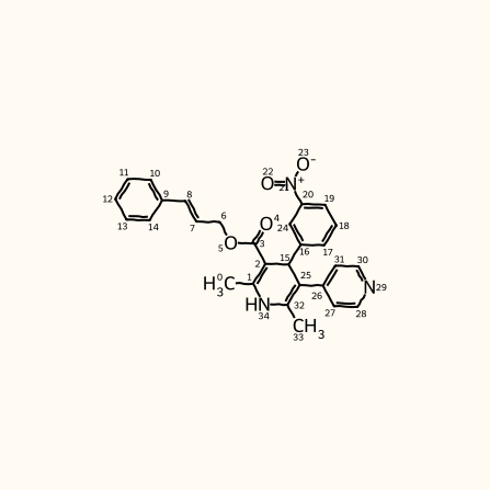 CC1=C(C(=O)OC/C=C/c2ccccc2)C(c2cccc([N+](=O)[O-])c2)C(c2ccncc2)=C(C)N1